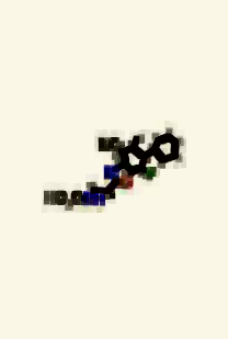 Cc1c(-c2ccccc2)c(F)c2oc(CCNC(=O)O)nc2c1C#N